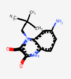 CC(C)(C)Cn1c(=O)c(=O)[nH]c2ccc(N)cc21